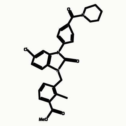 COC(=O)c1cccc(Cn2c(=O)n(-c3ccc(C(=O)N4CCCCC4)cc3)c3cc(Cl)ccc32)c1C